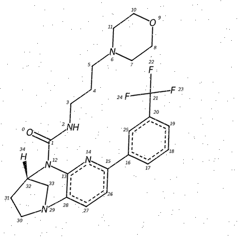 O=C(NCCCN1CCOCC1)N1c2nc(-c3cccc(C(F)(F)F)c3)ccc2N2CC[C@H]1C2